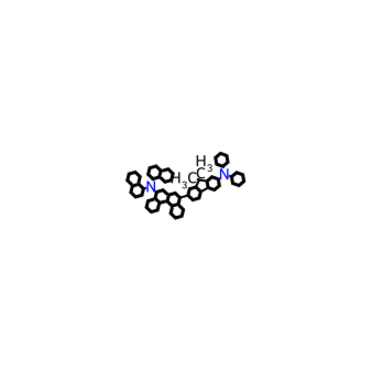 CC1(C)c2cc(-c3cc4cc(N(c5cccc6ccccc56)c5cccc6ccccc56)c5ccccc5c4c4ccccc34)ccc2-c2ccc(N(c3ccccc3)c3ccccc3)cc21